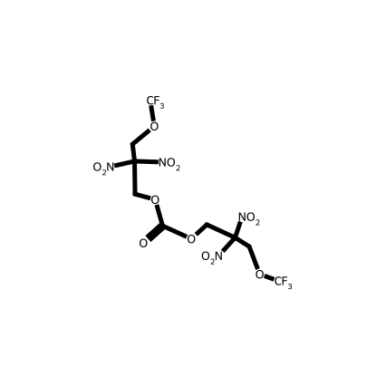 O=C(OCC(COC(F)(F)F)([N+](=O)[O-])[N+](=O)[O-])OCC(COC(F)(F)F)([N+](=O)[O-])[N+](=O)[O-]